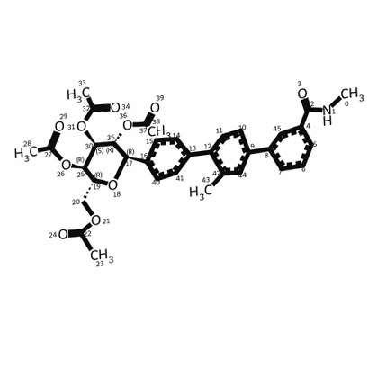 CNC(=O)c1cccc(-c2ccc(-c3ccc([C@H]4O[C@H](COC(C)=O)[C@@H](OC(C)=O)[C@@H](OC(C)=O)[C@@H]4OC(C)=O)cc3)c(C)c2)c1